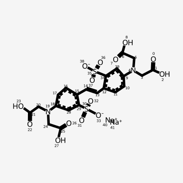 O=C(O)CN(CC(=O)O)c1ccc(C=Cc2ccc(N(CC(=O)O)CC(=O)O)cc2S(=O)(=O)[O-])c(S(=O)(=O)[O-])c1.[Na+].[Na+]